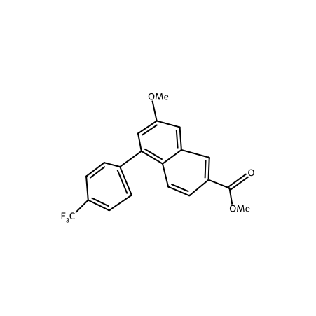 COC(=O)c1ccc2c(-c3ccc(C(F)(F)F)cc3)cc(OC)cc2c1